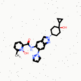 Cc1cccc(C(=O)Nc2cc3cn([C@H]4CC[C@@](O)(C5CC5)CC4)nc3cc2-n2cccn2)[n+]1O